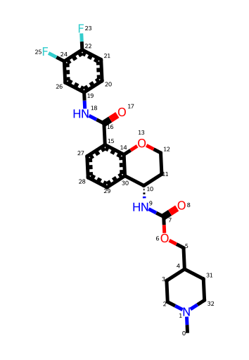 CN1CCC(COC(=O)N[C@H]2CCOc3c(C(=O)Nc4ccc(F)c(F)c4)cccc32)CC1